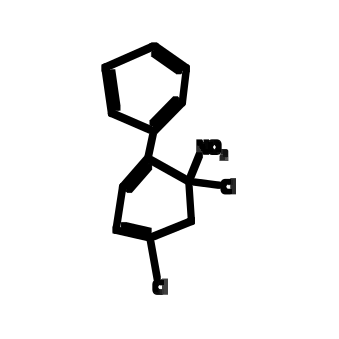 O=[N+]([O-])C1(Cl)CC(Cl)=CC=C1c1ccccc1